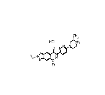 CCOc1cc2nn(C)cc2cc1C(=O)Nc1ccc(N2CCN[C@@H](C)C2)nn1.Cl